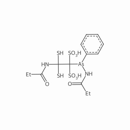 CCC(=O)N[As](c1ccccc1)C(C(S)(S)NC(=O)CC)(S(=O)(=O)O)S(=O)(=O)O